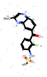 CCCS(=O)(=O)Nc1cccc(C(=O)c2ccc3ncc(OC)nc3c2)c1F